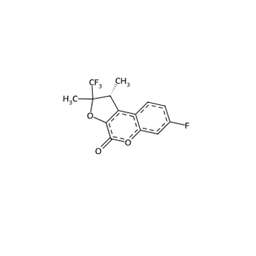 C[C@@H]1c2c(c(=O)oc3cc(F)ccc23)OC1(C)C(F)(F)F